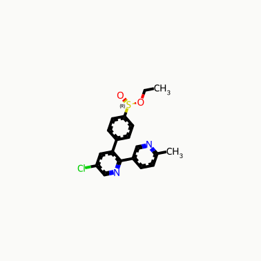 CCO[S@@](=O)c1ccc(-c2cc(Cl)cnc2-c2ccc(C)nc2)cc1